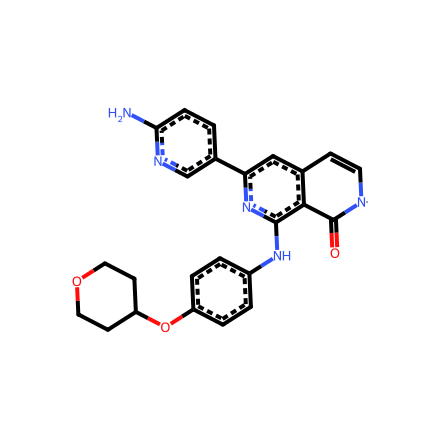 Nc1ccc(-c2cc3c(c(Nc4ccc(OC5CCOCC5)cc4)n2)C(=O)[N]C=C3)cn1